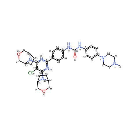 CN1CCN(c2ccc(NC(=O)Nc3ccc(-c4nc(N5C6CCC5COC6)c(Cl)c(N5C6CCC5COC6)n4)cc3)cc2)CC1